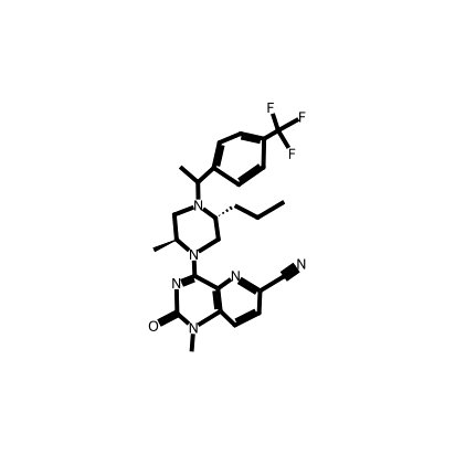 CCC[C@@H]1CN(c2nc(=O)n(C)c3ccc(C#N)nc23)[C@@H](C)CN1C(C)c1ccc(C(F)(F)F)cc1